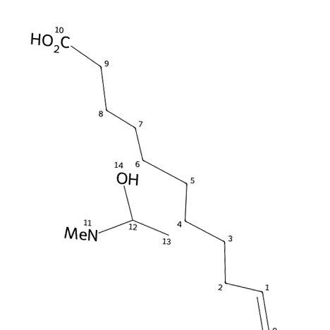 C=CCCCCCCCCC(=O)O.CNC(C)O